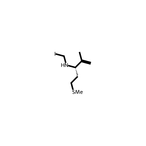 C=C(C)[C@H](CCSC)NCI